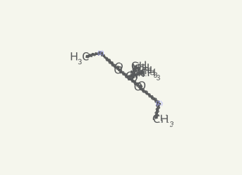 CCCCCCCC/C=C\CCCCCCCCCCCC(=O)OCCCCCCC(CCCCCCOC(=O)CCCCCCCCCCC/C=C\CCCCCCCC)OC(=O)N(CCCN(C)C)CCCN(C)C